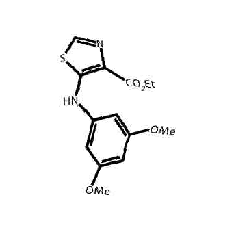 CCOC(=O)c1ncsc1Nc1cc(OC)cc(OC)c1